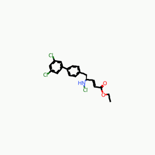 CCOC(=O)/C=C/[C@H](Cc1ccc(-c2cc(Cl)cc(Cl)c2)cc1)NCl